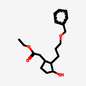 CCOC(=O)CC1CCC(O)C1CCCOCc1ccccc1